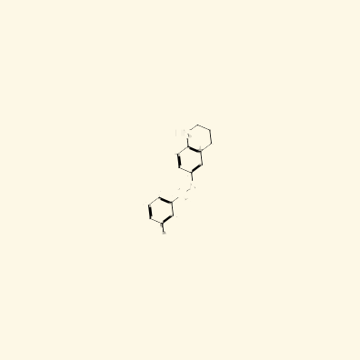 O=S(=O)(Nc1ccc2c(c1)CCCN2)c1cccc(Cl)c1